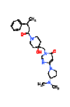 CC(CC(=O)N1CCC(O)(Cn2cnc(N3CC[C@H](N(C)C)C3)cc2=O)CC1)c1ccccc1